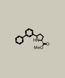 COC(=O)[C@@H]1CCC(c2cccc(-c3ccccc3)c2)N1